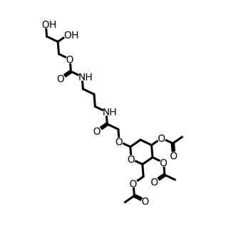 CC(=O)OCC1OC(OCC(=O)NCCCNC(=O)OCC(O)CO)CC(OC(C)=O)C1OC(C)=O